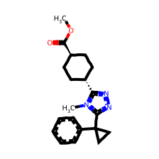 COC(=O)[C@H]1CC[C@H](c2nnc(C3(c4ccccc4)CC3)n2C)CC1